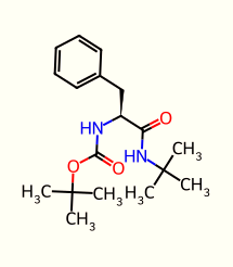 CC(C)(C)NC(=O)[C@H](Cc1ccccc1)NC(=O)OC(C)(C)C